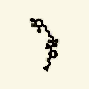 O=C1CCC(CC/C=C/CS(=O)(=O)NC2(c3cccc(OCC4CC4)c3)CC2)C(=O)N1